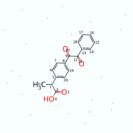 CC(C(=O)O)c1ccc(C(=O)C(=O)c2ccccc2)cc1